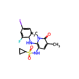 Cc1cc(NS(=O)(=O)C2CC2)c(NC2CC=C(I)C=C2F)n(C)c1=O